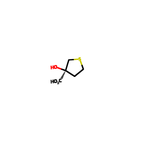 O=C(O)[C@@]1(O)CCSC1